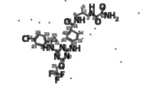 CC(CNC(=O)C(N)=O)CNC(=O)c1ccc(Nc2nc(NC3(c4ccc(Cl)cc4)CC3)nc(OCC(F)(F)F)n2)cc1